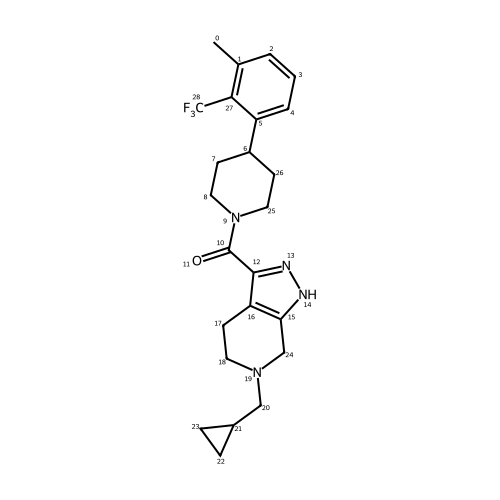 Cc1cccc(C2CCN(C(=O)c3n[nH]c4c3CCN(CC3CC3)C4)CC2)c1C(F)(F)F